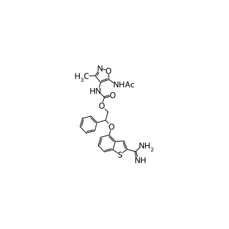 CC(=O)Nc1onc(C)c1NC(=O)OCC(Oc1cccc2sc(C(=N)N)cc12)c1ccccc1